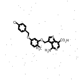 Cc1ccc(OCc2ccc(Cl)cc2)cc1OCc1csc2c(C(=O)O)cnc(N)c12